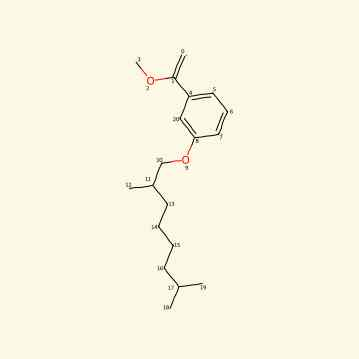 [CH]=C(OC)c1cc[c]c(OCC(C)CCCCC(C)C)c1